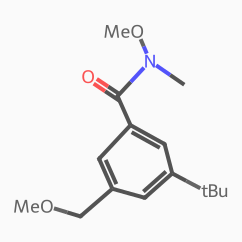 COCc1cc(C(=O)N(C)OC)cc(C(C)(C)C)c1